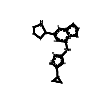 c1cc2nc(C3CCCN3)nc(Nc3cc(C4CC4)[nH]n3)n2c1